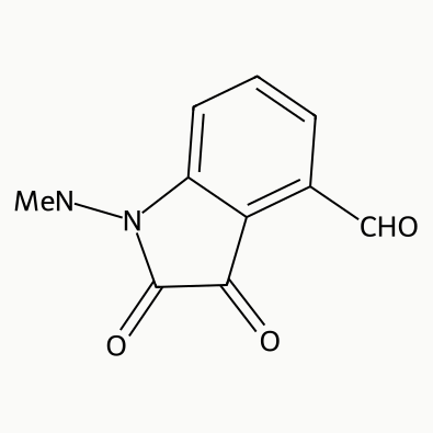 CNN1C(=O)C(=O)c2c(C=O)cccc21